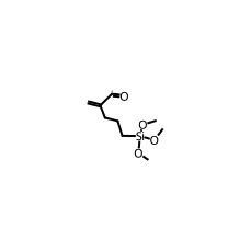 C=C([C]=O)CCC[Si](OC)(OC)OC